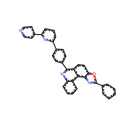 c1ccc(-c2nc3c(ccc4c(-c5ccc(-c6cccc(-c7ccncc7)n6)cc5)nc5ccccc5c43)o2)cc1